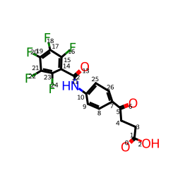 O=C(O)CCC(=O)c1ccc(NC(=O)c2c(F)c(F)c(F)c(F)c2F)cc1